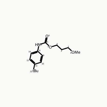 COCCCOC(=O)Nc1ccc(C(C)(C)C)cc1